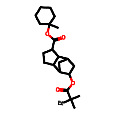 CCC(C)(C)C(=O)OC1CC2CC1C1CCC(C(=O)OC3(C)CCCCC3)C21